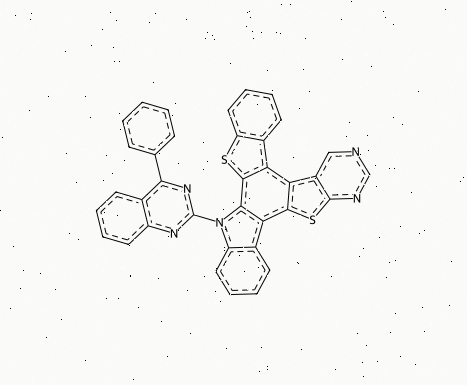 c1ccc(-c2nc(-n3c4ccccc4c4c5sc6ncncc6c5c5c6ccccc6sc5c43)nc3ccccc23)cc1